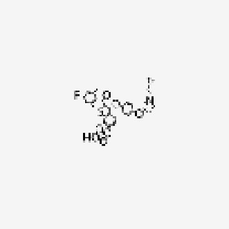 Cc1cc(F)cc(C)c1C(=O)c1sc2cc(OP(=O)(O)O)ccc2c1Oc1ccc(O[C@H]2CCN(CCC3CC3)C2)cc1